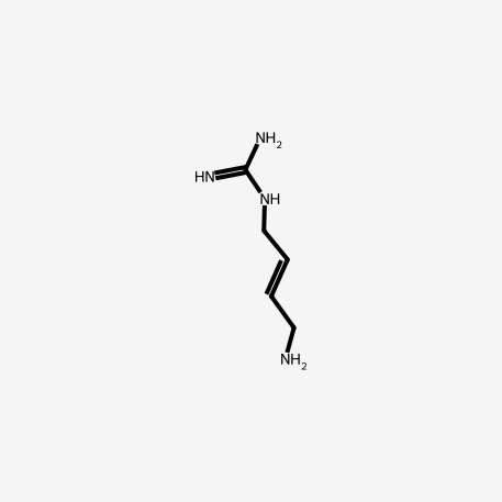 N=C(N)NC/C=C/CN